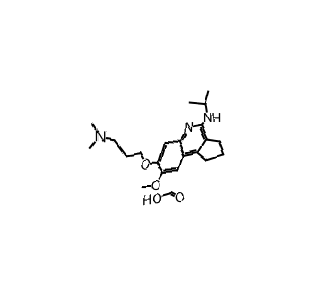 COc1cc2c3c(c(NC(C)C)nc2cc1OCCCN(C)C)CCC3.O=CO